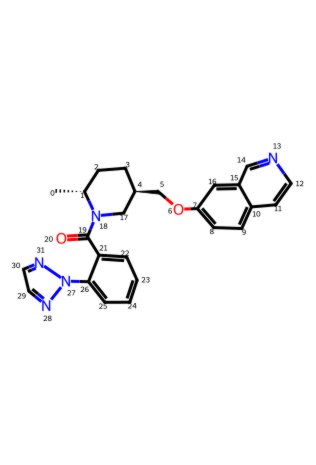 C[C@@H]1CC[C@@H](COc2ccc3ccncc3c2)CN1C(=O)c1ccccc1-n1nccn1